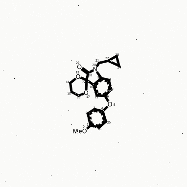 COc1ccc(Oc2ccc3c(c2)C2(OCCCO2)C(=O)N3CC2CC2)cc1